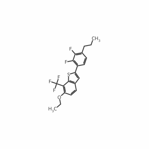 CCCc1ccc(-c2cc3ccc(OCC)c(C(F)(F)F)c3s2)c(F)c1F